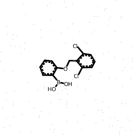 OB(O)c1ccccc1OCc1c(Cl)cccc1Cl